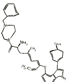 C=C/C(=C\C=C(/C)C[C@H](N)C(=O)N1CCN(Cc2ccccc2)CC1)Oc1ccnc2[nH]cc(C3=CCC(O)C=C3)c12